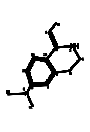 C/C=C1\NCCc2cc(N(C)C)ccc21